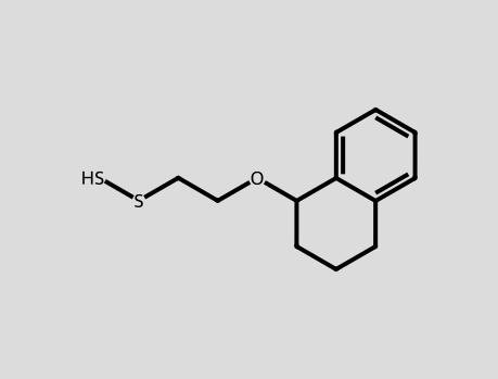 SSCCOC1CCCc2ccccc21